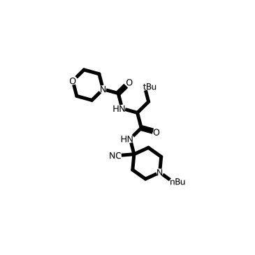 CCCCN1CCC(C#N)(NC(=O)C(CC(C)(C)C)NC(=O)N2CCOCC2)CC1